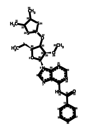 CC[C@H]1O[C@@H](n2cnc3c(NC(=O)c4ccccc4)ncnc32)[C@@H](OC)C1OP1SC(C)C(C)S1